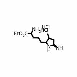 CCOC(=O)C(N)CCCC1NC(=N)CC1C.Cl.Cl